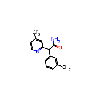 Cc1cccc(C(C(N)=O)c2cc(C(F)(F)F)ccn2)c1